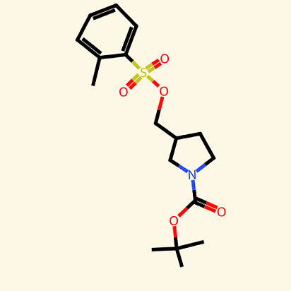 Cc1ccccc1S(=O)(=O)OCC1CCN(C(=O)OC(C)(C)C)C1